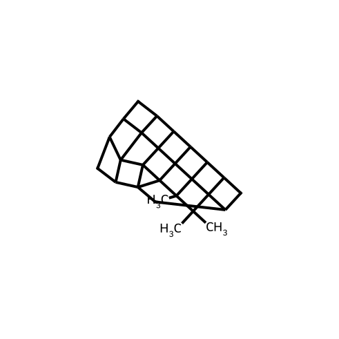 CC1(C)C23C4CC2C2C5C6C7CC8C9CC%10C%11(C4)C4%12C9%10C87C64C54C23C1(C)C%114%12